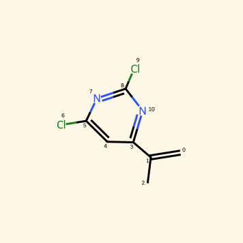 C=C(C)c1cc(Cl)nc(Cl)n1